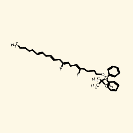 CCCCCC=CCC=CCC(F)=CCC=C(F)CCCCO[Si](c1ccccc1)(c1ccccc1)C(C)(C)C